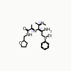 CCN(C/C(N)=C(\N=C(/C)C(=O)NCC1CCCO1)C(/C)=N\C)c1ccccc1